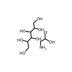 CCC(O)CN.OCC(O)C(O)C(O)C(O)CO